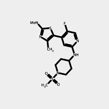 CNc1nc(C)c(-c2cc(NC3CCN(S(C)(=O)=O)CC3)ncc2F)s1